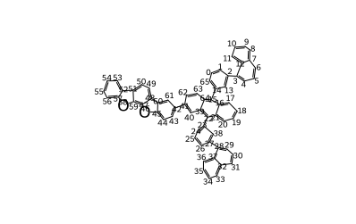 c1cc(-c2cccc3ccccc23)cc(-c2c3ccccc3c(-c3cccc(-c4cccc5ccccc45)c3)c3cc(-c4ccc5oc6c(ccc7c8ccccc8oc76)c5c4)ccc23)c1